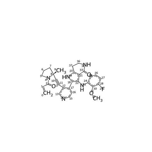 C=CC(=O)N1CCC[C@]1(C)C#Cc1cnccc1-c1[nH]c2c(c1Nc1cccc(F)c1OC)C(=O)NCC2